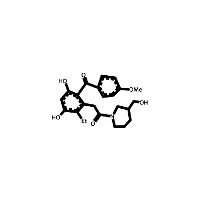 CCc1c(O)cc(O)c(C(=O)c2ccc(OC)cc2)c1CC(=O)N1CCCC(CO)C1